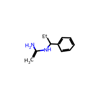 C=C(N)NC(CC)c1ccccc1